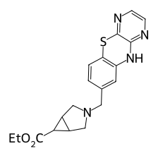 CCOC(=O)C1C2CN(Cc3ccc4c(c3)Nc3nccnc3S4)CC21